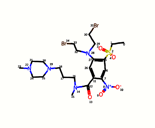 CCS(=O)(=O)c1cc([N+](=O)[O-])c(C(=O)N(C)CCCN2CCN(C)CC2)cc1N(CCBr)CCBr